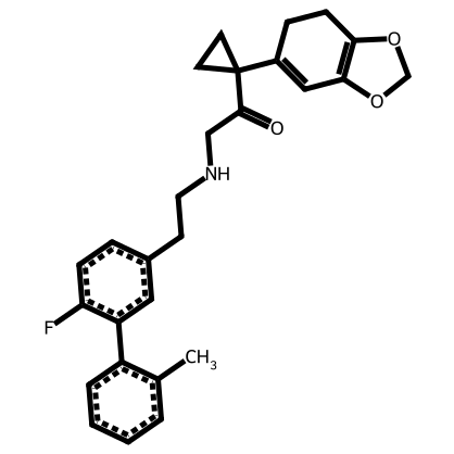 Cc1ccccc1-c1cc(CCNCC(=O)C2(C3=CC4=C(CC3)OCO4)CC2)ccc1F